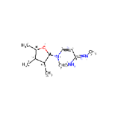 C/N=C(N)\C=C/N(C=O)C1OC(C)C(C)C1C